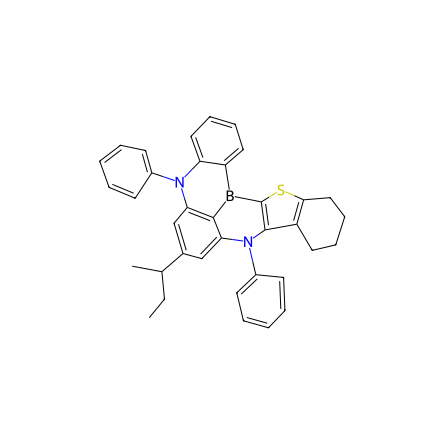 CCC(C)c1cc2c3c(c1)N(c1ccccc1)c1c(sc4c1CCCC4)B3c1ccccc1N2c1ccccc1